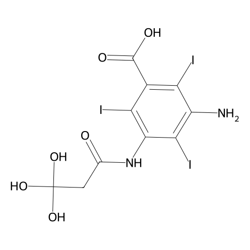 Nc1c(I)c(NC(=O)CC(O)(O)O)c(I)c(C(=O)O)c1I